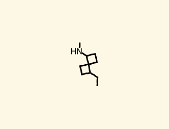 CCC1CCC12CCC2NC